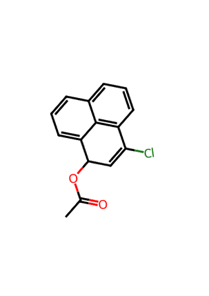 CC(=O)OC1C=C(Cl)c2cccc3cccc1c23